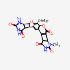 COc1c2c(cc3c1OC(=O)C1C3C3C(=O)NC(=O)N(C)C31)C1C(O2)C2NC(=O)NC(=O)C21